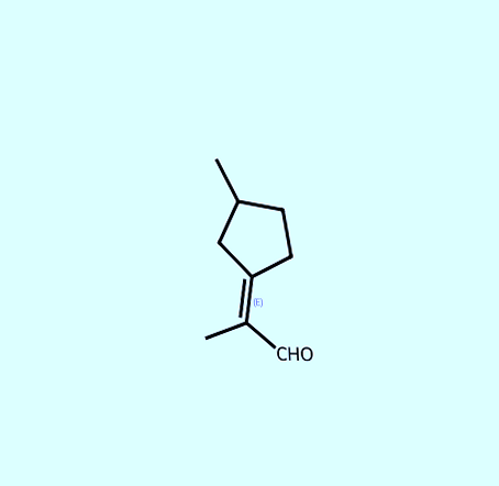 C/C(C=O)=C1/CCC(C)C1